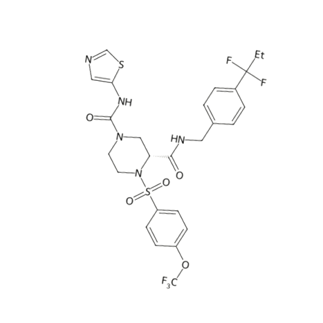 CCC(F)(F)c1ccc(CNC(=O)[C@H]2CN(C(=O)Nc3cncs3)CCN2S(=O)(=O)c2ccc(OC(F)(F)F)cc2)cc1